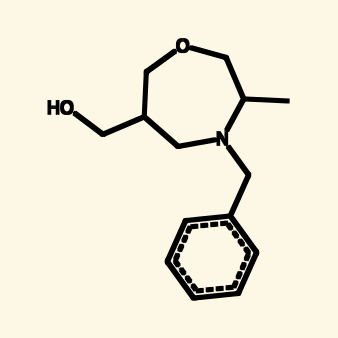 CC1COCC(CO)CN1Cc1ccccc1